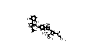 CCOC(=O)c1cc(C2CC(O)(c3ccc(OCc4c(-c5c(Cl)cccc5Cl)noc4C4CC4)cc3Cl)C2)n(C(C)C)n1